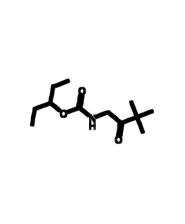 CCC(CC)OC(=O)NCC(=O)C(C)(C)C